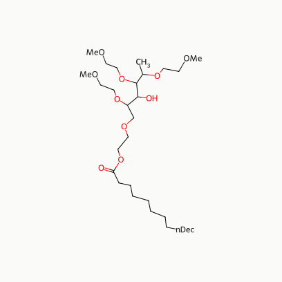 CCCCCCCCCCCCCCCCCC(=O)OCCOCC(OCCOC)C(O)C(OCCOC)C(C)OCCOC